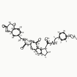 Cc1ccc(CNC(=O)C2CCc3sc4nc(C(=O)NCc5ccc6c(c5)NC(=O)CO6)[nH]c(=O)c4c32)cc1